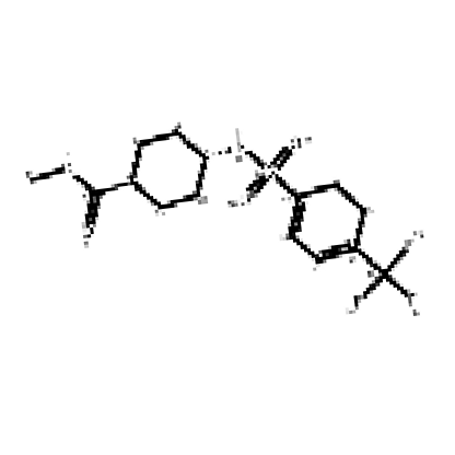 COC(=O)[C@H]1CC[C@H](NS(=O)(=O)C2=CC=C(C(F)(F)F)CC2)CC1